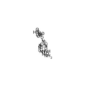 CN1CCN([C@@H]2CCCN(c3cnc(C(N)=O)c(Nc4ccc(N5CCC6CCN(Cc7ccc8c(c7)C(=O)N(N7CCC(=O)NC7=O)C8=O)CC6C5)cc4)n3)C2)C1=O